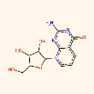 Nc1nc2n(C3OC(CO)C(O)C3O)cccc-2c(=O)n1